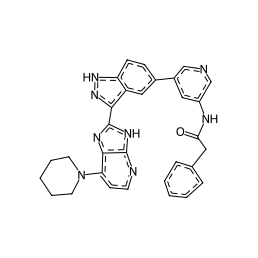 O=C(Cc1ccccc1)Nc1cncc(-c2ccc3[nH]nc(-c4nc5c(N6CCCCC6)ccnc5[nH]4)c3c2)c1